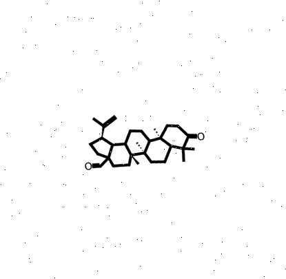 C=C(C)[C@@H]1CCC2(C=O)CC[C@]3(C)C(CCC4[C@@]5(C)CCC(=O)C(C)(C)C5CC[C@]43C)C12